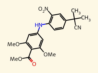 COC(=O)c1c(OC)cc(Nc2ccc(C(C)(C)C#N)cc2[N+](=O)[O-])cc1OC